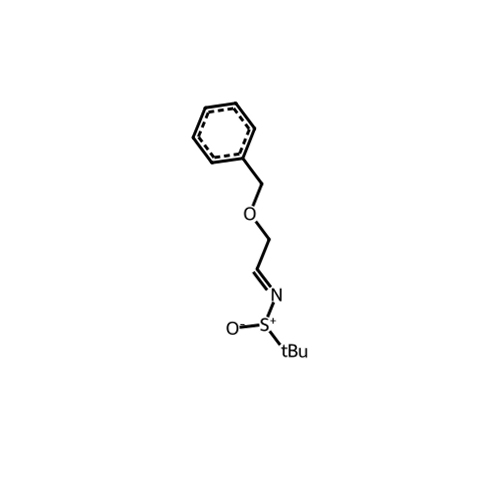 CC(C)(C)[S+]([O-])N=CCOCc1ccccc1